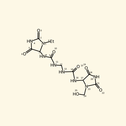 CCN1C(=O)NC(=O)C1NC(=O)NCNC(=O)NC1C(=O)NC(=O)N1CO